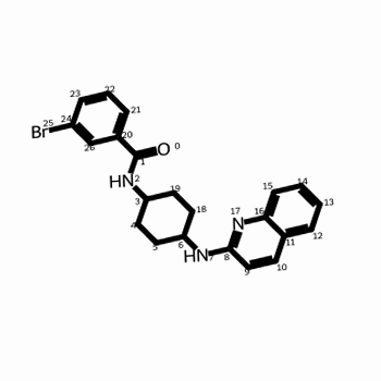 O=C(NC1CCC(Nc2ccc3ccccc3n2)CC1)c1cccc(Br)c1